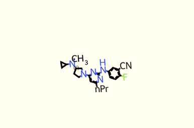 CCCc1cc(N2CC[C@H](N(C)C3CC3)C2)nc(Nc2ccc(F)c(C#N)c2)n1